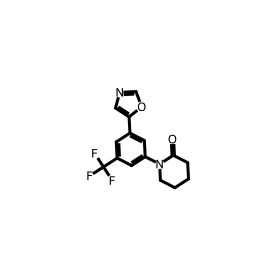 O=C1CCCCN1c1cc(-c2cnco2)cc(C(F)(F)F)c1